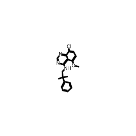 COc1ccc(Cl)c2ncnc(NCC(C)(C)c3ccccc3)c12